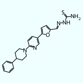 NC(=S)N/N=C/c1ccc(-c2ccc(N3CCC(c4ccccc4)CC3)nc2)o1